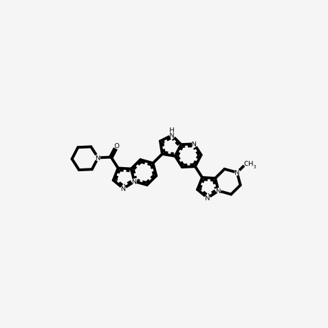 CN1CCn2ncc(-c3cnc4[nH]cc(-c5ccn6ncc(C(=O)N7CCCCC7)c6c5)c4c3)c2C1